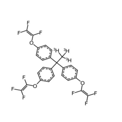 [3H]C([3H])([3H])C(c1ccc(OC(F)=C(F)F)cc1)(c1ccc(OC(F)=C(F)F)cc1)c1ccc(OC(F)=C(F)F)cc1